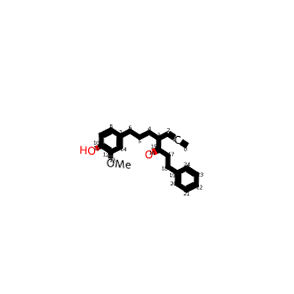 C=C=CC(CCCc1ccc(O)c(OC)c1)C(=O)CCc1ccccc1